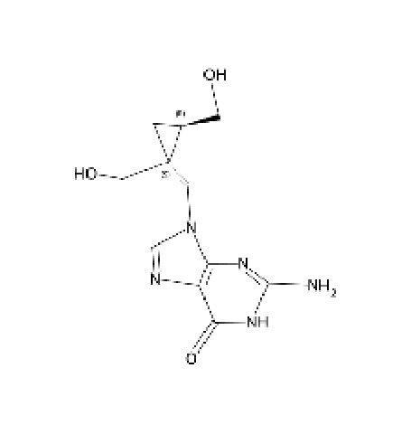 Nc1nc2c(ncn2C[C@]2(CO)C[C@H]2CO)c(=O)[nH]1